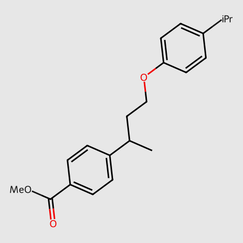 COC(=O)c1ccc(C(C)CCOc2ccc(C(C)C)cc2)cc1